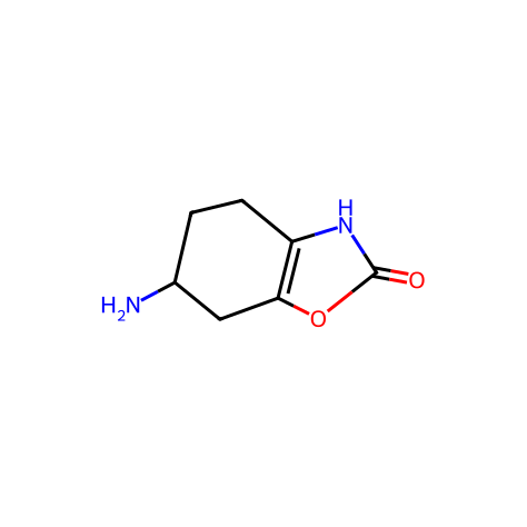 NC1CCc2[nH]c(=O)oc2C1